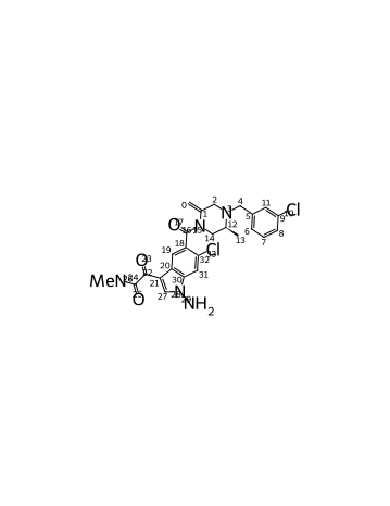 C=C1CN(Cc2cccc(Cl)c2)[C@@H](C)CN1C(=O)c1cc2c(C(=O)C(=O)NC)cn(N)c2cc1Cl